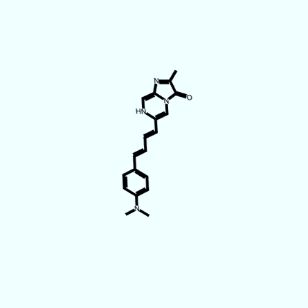 Cc1nc2c[nH]c(/C=C/C=C/c3ccc(N(C)C)cc3)cn-2c1=O